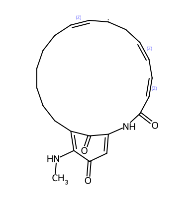 CNC1=C2CCCCCC/C=C\[CH]C/C=C\C=C/C(=O)NC(=CC1=O)C2=O